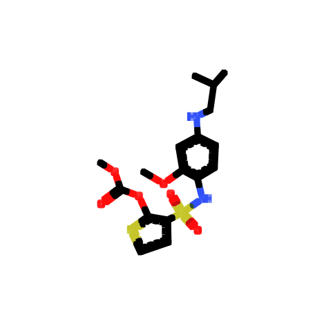 COC(=O)Oc1sccc1S(=O)(=O)Nc1ccc(NCC(C)C)cc1OC